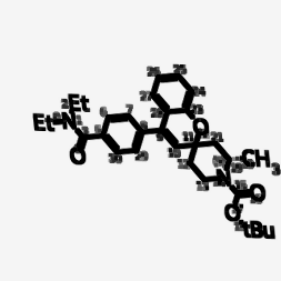 CCN(CC)C(=O)c1ccc(C2=CC3(CCN(C(=O)OC(C)(C)C)[C@@H](C)C3)Oc3ccccc32)cc1